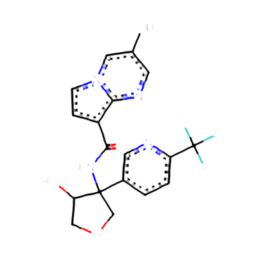 Cc1cnc2c(C(=O)NC3(c4ccc(C(F)(F)F)nc4)COCC3O)ccn2c1